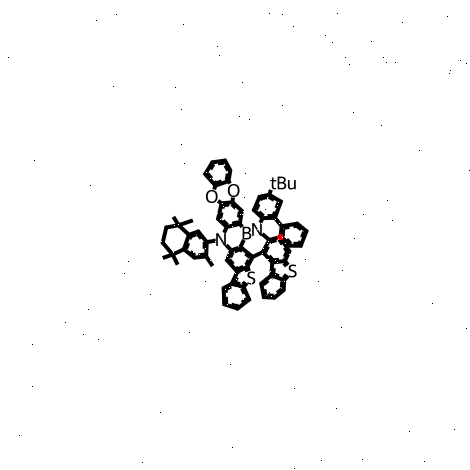 Cc1cc2c(cc1N1c3cc4c(cc3B3c5c1cc1c(sc6ccccc61)c5-c1c(ccc5sc6ccccc6c15)N3c1ccc(C(C)(C)C)cc1-c1ccccc1)Oc1ccccc1O4)C(C)(C)CCC2(C)C